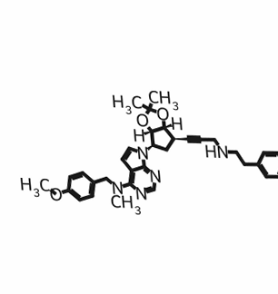 COc1ccc(CN(C)c2ncnc3c2ccn3[C@@H]2C[C@H](C#CCNCCc3ccccc3)[C@H]3OC(C)(C)O[C@H]32)cc1